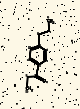 CCCc1ccc(C(=O)CC)cc1